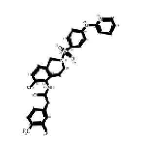 O=C(Cc1ccc(C(F)(F)F)c(F)c1)Nc1c(Cl)ccc2c1CCN(S(=O)(=O)c1ccc(Oc3ccccn3)cc1)C2